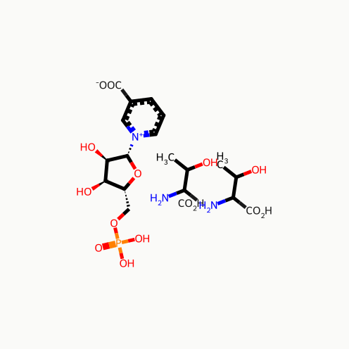 CC(O)C(N)C(=O)O.CC(O)C(N)C(=O)O.O=C([O-])c1ccc[n+]([C@@H]2O[C@H](COP(=O)(O)O)[C@@H](O)[C@H]2O)c1